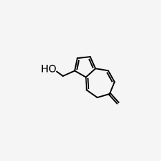 C=C1C=CC2=CC=C(CO)C2=CC1